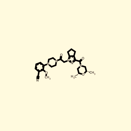 COc1c(C#N)cccc1N1CCN(C(=O)Cn2nc(C(=O)N3C[C@@H](C)O[C@@H](C)C3)c3c2CCC3)CC1